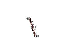 O=C(Nc1ccc(-[n+]2ccc(-c3cc[n+](-c4ccc(Oc5ccccc5O)cc4)cc3)cc2)cc1)c1ccc(-[n+]2ccc(-c3cc[n+](-c4ccc(Oc5ccccc5O)cc4)cc3)cc2)cc1